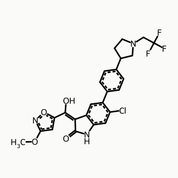 COc1cc(/C(O)=C2\C(=O)Nc3cc(Cl)c(-c4ccc(C5CCN(CC(F)(F)F)C5)cc4)cc32)on1